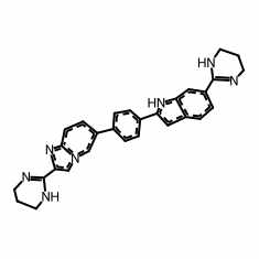 c1cc2cc(-c3ccc(-c4ccc5nc(C6=NCCCN6)cn5c4)cc3)[nH]c2cc1C1=NCCCN1